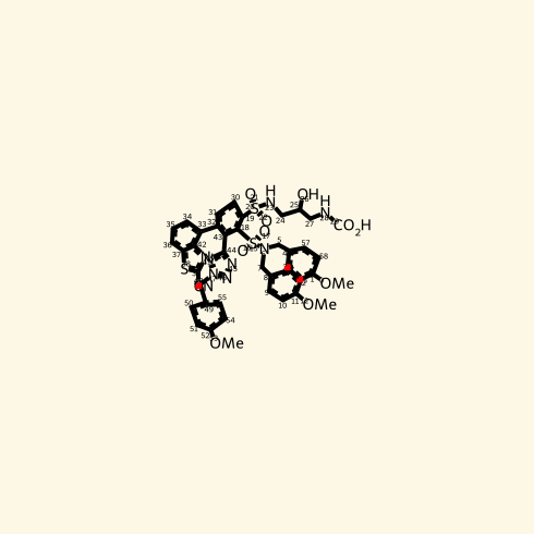 COc1ccc(CN(Cc2ccc(OC)cc2)S(=O)(=O)c2c(S(=O)(=O)NCC(O)CNC(=O)O)ccc(-c3cccc4sc(C#N)nc34)c2-c2nnn(Cc3ccc(OC)cc3)n2)cc1